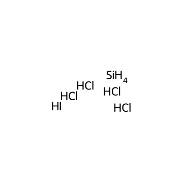 Cl.Cl.Cl.Cl.I.[SiH4]